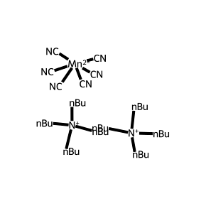 CCCC[N+](CCCC)(CCCC)CCCC.CCCC[N+](CCCC)(CCCC)CCCC.N#[C][Mn-2]([C]#N)([C]#N)([C]#N)([C]#N)[C]#N